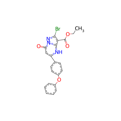 CCOC(=O)c1c(Br)nn2c(=O)cc(-c3ccc(Oc4ccccc4)cc3)[nH]c12